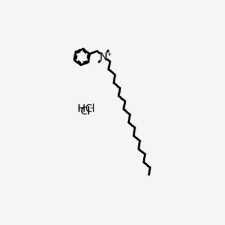 CCCCCCCCCCCCCCCCCC[N+](C)(C)Cc1ccccc1.Cl.[Cl-]